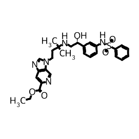 CCOC(=O)c1cc2ncn(CCC(C)(C)NC[C@H](O)c3cccc(NS(=O)(=O)c4ccccc4)c3)c2cn1